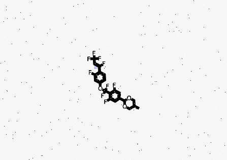 CC1COC(c2cc(F)c(C(F)(F)Oc3ccc(/C(F)=C/C(F)(F)F)c(F)c3)c(F)c2)OC1